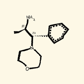 C[C@@H](N)[C@H](c1ccccc1)N1CCOCC1